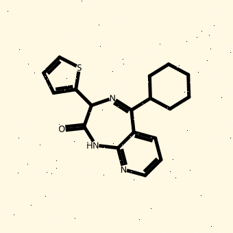 O=C1Nc2ncccc2C(C2CCCCC2)=NC1c1cccs1